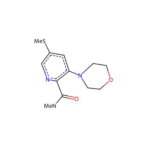 CNC(=O)c1ncc(SC)cc1N1CCOCC1